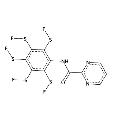 O=C(Nc1c(SF)c(SF)c(SF)c(SF)c1SF)c1ncccn1